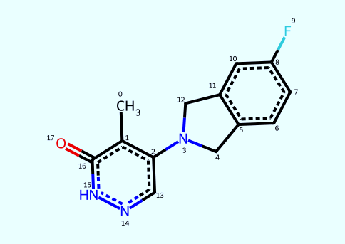 Cc1c(N2Cc3ccc(F)cc3C2)cn[nH]c1=O